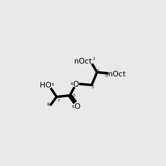 CCCCCCCCC(CCCCCCCC)COC(=O)C(C)O